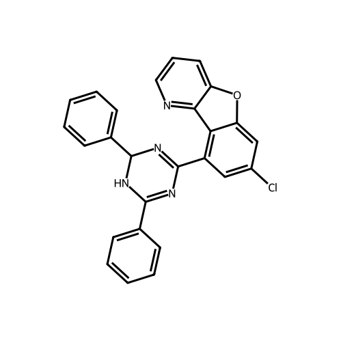 Clc1cc(C2=NC(c3ccccc3)NC(c3ccccc3)=N2)c2c(c1)oc1cccnc12